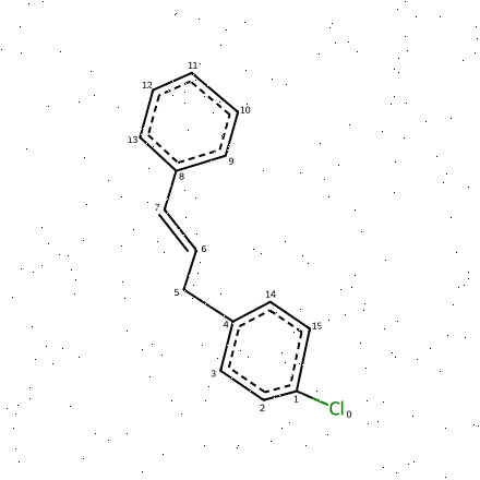 Clc1ccc(CC=Cc2ccccc2)cc1